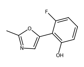 Cc1ncc(-c2c(O)cccc2F)o1